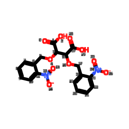 O=C(O)C(OCc1ccccc1[N+](=O)[O-])C(OCc1ccccc1[N+](=O)[O-])C(=O)O